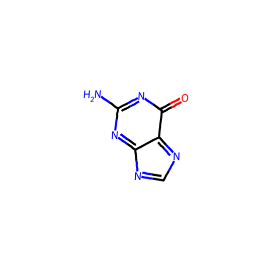 NC1=NC(=O)C2=NC=NC2=N1